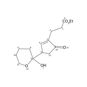 CCOC(=O)CCC1=CC(C2(O)CCCCO2)CC1=O